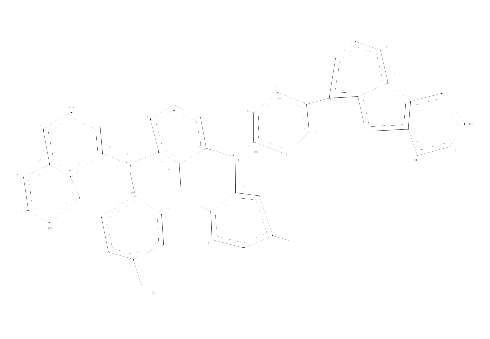 CC(C)(C)c1ccc2c(c1)B1c3ccc(C(C)(C)C)cc3N(c3ccc(-c4cccc5c4oc4ccccc45)cc3)c3cccc(c31)N2c1cccc2ccccc12